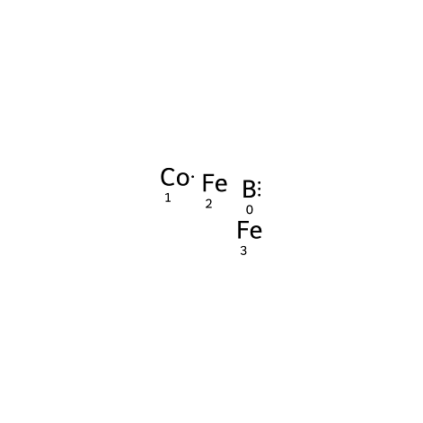 [B].[Co].[Fe].[Fe]